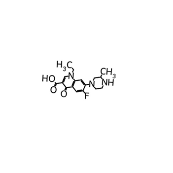 CCn1cc(C(=O)O)c(=O)c2cc(F)c(N3CCNC(C)C3)cc21